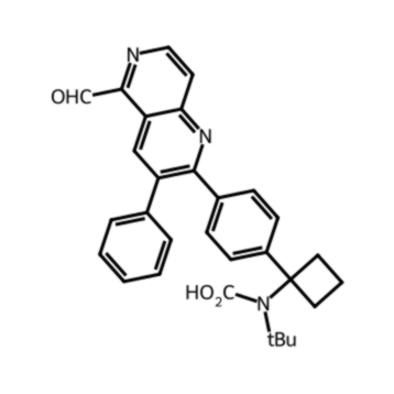 CC(C)(C)N(C(=O)O)C1(c2ccc(-c3nc4ccnc(C=O)c4cc3-c3ccccc3)cc2)CCC1